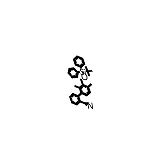 Cc1ccc(-c2ccccc2C#N)c(C)c1CO[Si](c1ccccc1)(c1ccccc1)C(C)(C)C